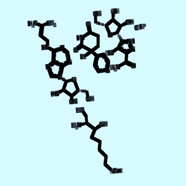 CC(C)=CCNc1ncnc2c1ncn2[C@@H]1O[C@H](CO)[C@@H](O)[C@H]1O.CCC1(c2ccncc2)CCC(=O)NC1=O.CCCCCCCCCCCCCCC[C@H](O)[C@@H](N)CO.NC(=O)c1n[nH]c([C@@H]2O[C@H](CO)[C@@H](O)[C@H]2O)c1O.[Cl-].[H+]